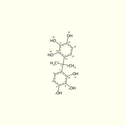 CC(C)(c1ccc(O)c(O)c1O)c1ccc(O)c(O)c1O